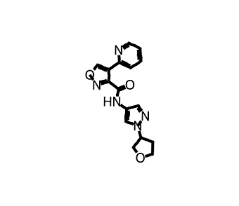 O=C(Nc1cnn(C2CCOC2)c1)c1nocc1-c1ccccn1